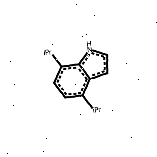 CC(C)c1ccc(C(C)C)c2[nH]ccc12